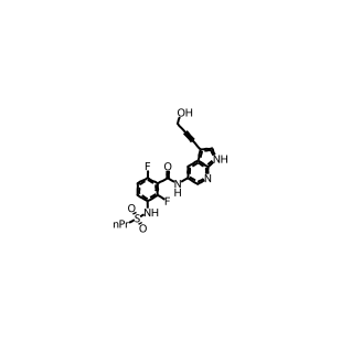 CCCS(=O)(=O)Nc1ccc(F)c(C(=O)Nc2cnc3[nH]cc(C#CCO)c3c2)c1F